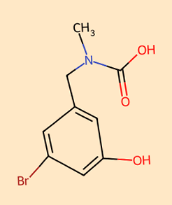 CN(Cc1cc(O)cc(Br)c1)C(=O)O